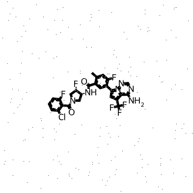 Cc1cc(F)c(-c2cc(C(F)(F)F)c3c(N)ncnn23)cc1C(=O)N[C@@H]1CN(C(=O)c2c(F)cccc2Cl)C[C@@H]1F